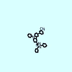 N#Cc1cccc(-c2ccc3c(c2)c2cc(-c4nc(-c5ccccc5)nc(-c5ccccc5)n4)ccc2n3-c2ccccc2)c1